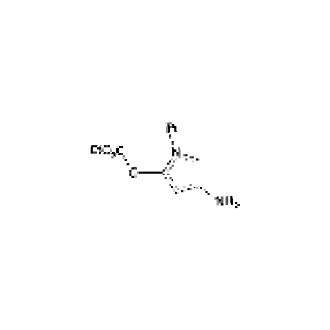 CCOC(=O)Oc1cc(N)cn1C(C)C